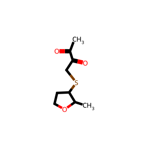 CC(=O)C(=O)CSC1CCOC1C